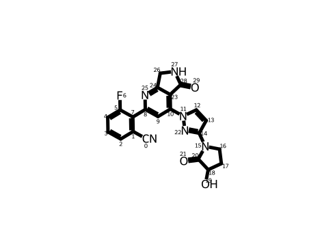 N#Cc1cccc(F)c1-c1cc(-n2ccc(N3CCC(O)C3=O)n2)c2c(n1)CNC2=O